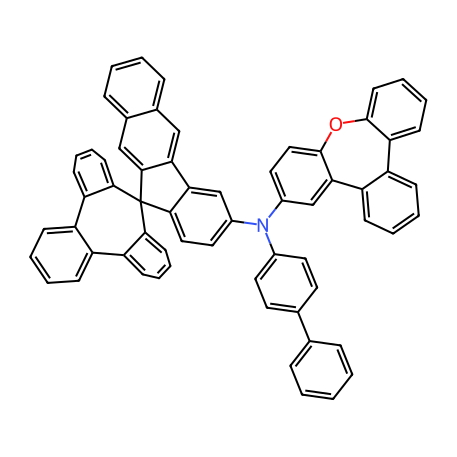 c1ccc(-c2ccc(N(c3ccc4c(c3)-c3ccccc3-c3ccccc3O4)c3ccc4c(c3)-c3cc5ccccc5cc3C43c4ccccc4-c4ccccc4-c4ccccc43)cc2)cc1